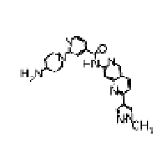 Cn1cc(-c2ccc3cnc(NC(=O)c4ccnc(N5CCC(N)CC5)c4)cc3n2)cn1